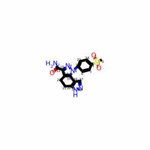 CS(=O)(=O)c1ccc(-n2nc(C(N)=O)c3c2-c2cn[nH]c2CC3)cc1